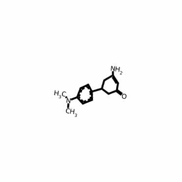 CN(C)c1ccc(C2CC(=O)C=C(N)C2)cc1